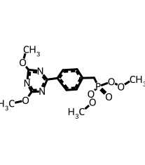 COOP(=O)(Cc1ccc(-c2nc(OC)nc(OC)n2)cc1)OOC